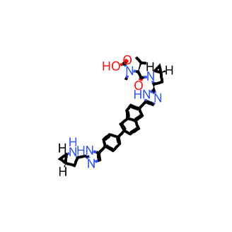 CC(C)[C@@H](C(=O)N1[C@@H]2C[C@@H]2C[C@H]1c1ncc(-c2ccc3cc(-c4ccc(-c5cnc(C6C[C@H]7C[C@H]7N6)[nH]5)cc4)ccc3c2)[nH]1)N(C)C(=O)O